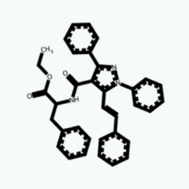 CCOC(=O)C(Cc1ccccc1)NC(=O)c1c(-c2ccccc2)nn(-c2ccccc2)c1/C=C/c1ccccc1